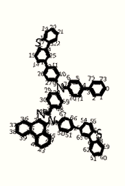 c1ccc(-c2ccc(N(c3ccc(-c4ccc5sc6ccccc6c5c4)cc3)c3ccc(-c4nc5c6ccccc6c6ccccc6c5n4-c4ccc(-c5ccc6sc7ccccc7c6c5)cc4)cc3)cc2)cc1